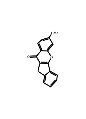 COc1ccc2c(=O)c3oc4ccccc4c3oc2c1